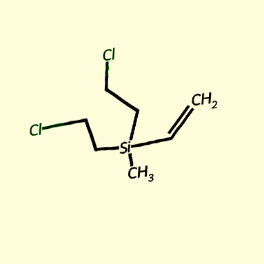 C=C[Si](C)(CCCl)CCCl